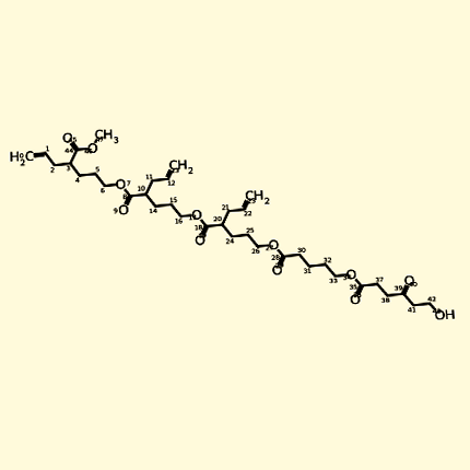 C=CCC(CCCOC(=O)C(CC=C)CCCOC(=O)C(CC=C)CCCOC(=O)CCCCOC(=O)CCC(=O)CCO)C(=O)OC